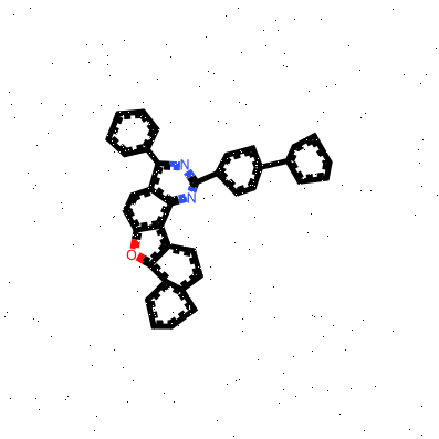 c1ccc(-c2ccc(-c3nc(-c4ccccc4)c4ccc5oc6c7ccccc7ccc6c5c4n3)cc2)cc1